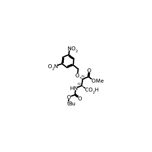 COC(=O)[C@@H](OCc1cc([N+](=O)[O-])cc([N+](=O)[O-])c1)[C@H](NC(=O)OC(C)(C)C)C(=O)O